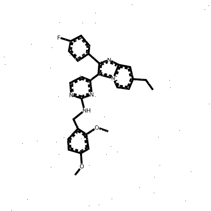 CCc1ccn2c(-c3ccnc(NCc4ccc(OC)cc4OC)n3)c(-c3ccc(F)cc3)nc2c1